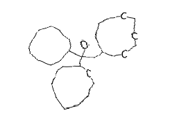 [O]C(CC1CCCCCCCCC1)(C1CCCCCCCCC1)C1CCCCCCCCC1